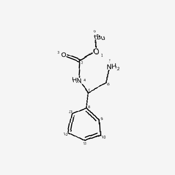 CC(C)(C)OC(=O)NC(CN)c1ccccc1